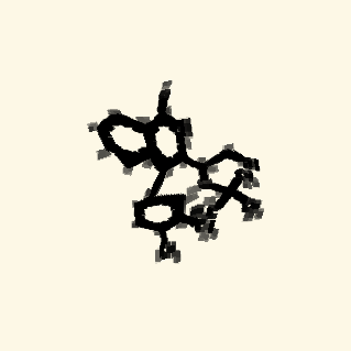 Cc1ccc(-c2c([C@@H](CO)OC(C)(C)C)[nH]c(=O)c3ccccc23)cc1C